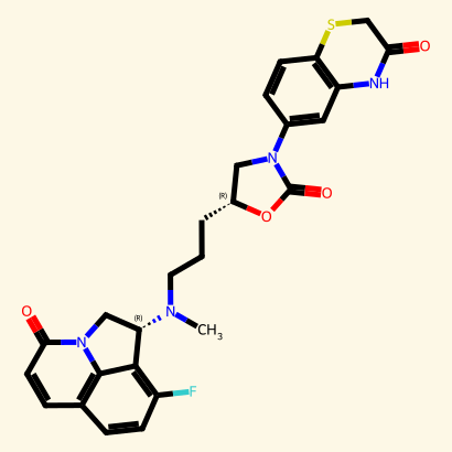 CN(CCC[C@@H]1CN(c2ccc3c(c2)NC(=O)CS3)C(=O)O1)[C@H]1Cn2c(=O)ccc3ccc(F)c1c32